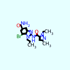 CCCn1c(NC(=O)c2cc(C)nn2CC)nc2cc(C(N)=O)cc(Br)c21